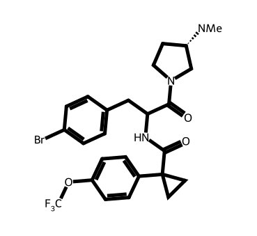 CN[C@H]1CCN(C(=O)C(Cc2ccc(Br)cc2)NC(=O)C2(c3ccc(OC(F)(F)F)cc3)CC2)C1